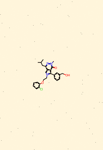 CC(C)Cc1nn(C)c(=O)c2c(-c3cccc(CO)c3)n(CCOc3ccccc3Cl)cc12